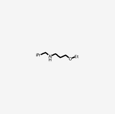 CCOCC[CH2][AlH][CH2]C(C)C